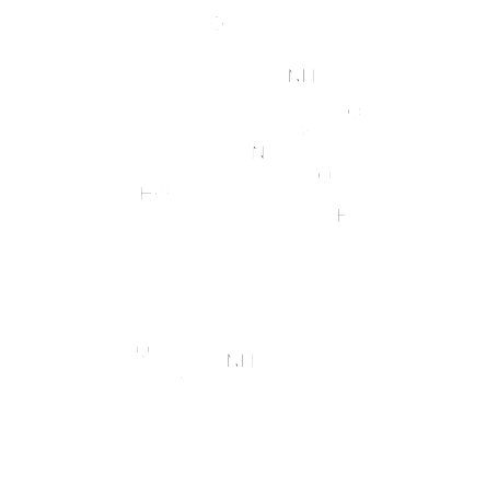 O=C1CN(c2c(O)cc(N[S+]([O-])C3CC3)cc2F)S(=O)(=O)N1